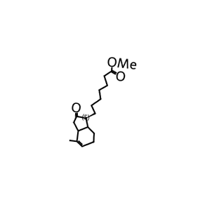 COC(=O)CCCCCC[C@@H]1C(=O)CC2C(C)=CCCC21